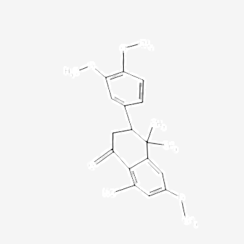 COc1cc(O)c2c(c1)C(C)(C)C(c1ccc(OC)c(OC)c1)CC2=O